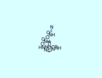 CN(C)C/C=C/C(=O)Nc1ccc(C(=O)Nc2cccc(Nc3nc(Nc4cnc5[nH]ccc5c4)c4occc4n3)c2)cc1